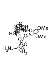 COc1cc(OC)c(CSCO[C@H]2CC(n3cc(C#CCN)c(N)nc3=O)O[C@@H]2COP(=O)(O)OP(=O)(O)OP(=O)(O)O)c(OC)c1